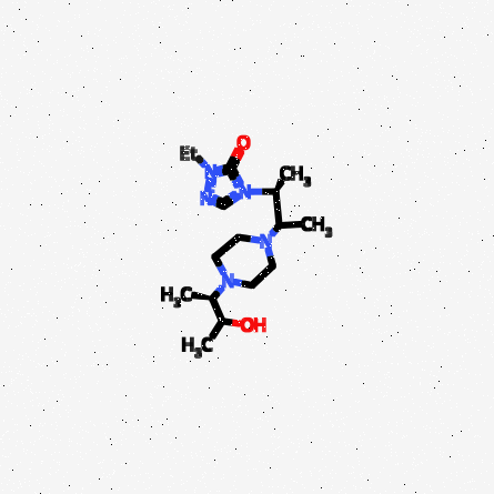 CCn1ncn([C@@H](C)C(C)N2CCN([C@H](C)C(C)O)CC2)c1=O